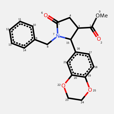 COC(=O)C1CC(=O)N(Cc2ccccc2)C1c1ccc2c(c1)OCCO2